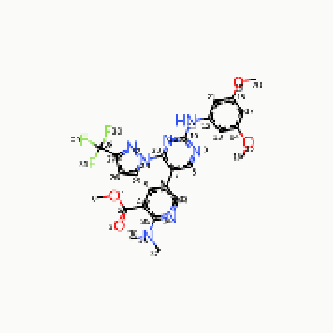 COC(=O)c1cc(-c2cnc(Nc3cc(OC)cc(OC)c3)nc2-n2ccc(C(F)(F)F)n2)cnc1N(C)C